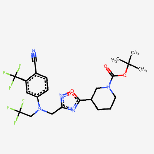 CC(C)(C)OC(=O)N1CCCC(c2nc(CN(CC(F)(F)F)c3ccc(C#N)c(C(F)(F)F)c3)no2)C1